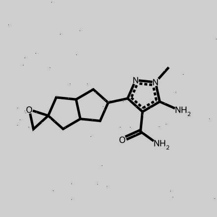 Cn1nc(C2CC3CC4(CO4)CC3C2)c(C(N)=O)c1N